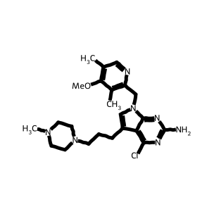 COc1c(C)cnc(Cn2cc(CCCN3CCN(C)CC3)c3c(Cl)nc(N)nc32)c1C